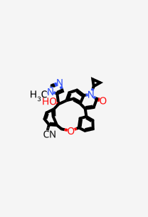 Cn1cncc1C1(O)c2ccc(C#N)c(c2)COc2cccc(c2)-c2cc(=O)n(C3CC3)c3ccc1cc23